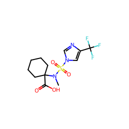 CN(C1(C(=O)O)CCCCC1)S(=O)(=O)n1cnc(C(F)(F)F)c1